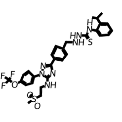 CC(C)c1ccccc1NC(=S)NNCc1ccc(-c2nc(NCCS(C)(=O)=O)n(-c3ccc(OC(F)(F)F)cc3)n2)cc1